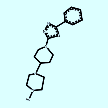 CC(=O)N1CCN(C2CCN(c3nnc(-c4ccccc4)s3)CC2)CC1